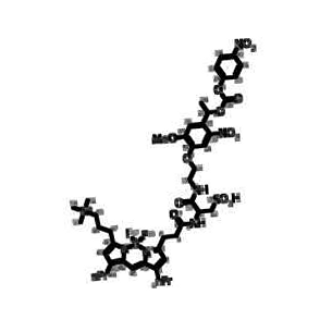 CCCC1=CC(CCC(=O)NC(CS(=O)(=O)O)C(=O)NCCOc2cc([N+](=O)[O-])c(C(C)OC(=O)Oc3ccc([N+](=O)[O-])cc3)cc2OC)=[N+]2C1=Cc1c(CCC)cc(CCC[N+](C)(C)C)n1[B-]2(F)F